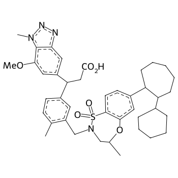 COc1cc(C(CC(=O)O)c2ccc(C)c(CN3CC(C)Oc4cc(C5CCCCCC5C5CCCCC5)ccc4S3(=O)=O)c2)cc2nnn(C)c12